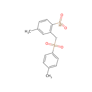 Cc1ccc(S(=O)(=O)[CH]c2cc(C)ccc2[SH](=O)=O)cc1